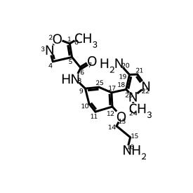 Cc1oncc1C(=O)Nc1ccc(OCCN)c(-c2c(N)cnn2C)c1